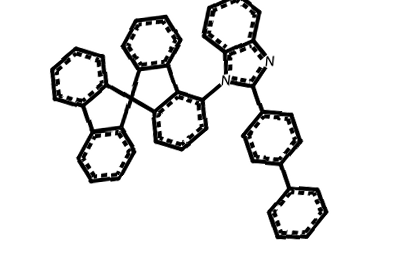 c1ccc(-c2ccc(-c3nc4ccccc4n3-c3cccc4c3-c3ccccc3C43c4ccccc4-c4ccccc43)cc2)cc1